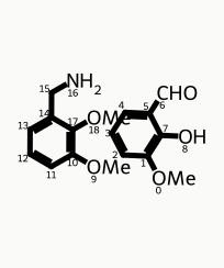 COc1cccc(C=O)c1O.COc1cccc(CN)c1OC